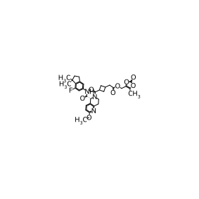 COc1ccc2c(n1)CCN(C(=O)C1CC(CC(=O)OCc3oc(=O)oc3C)C1)[C@H]2C(=O)Nc1cc(F)c2c(c1)CCC2(C)C